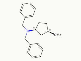 CO[C@@H]1CC[C@H](N(Cc2ccccc2)Cc2ccccc2)C1